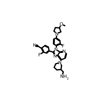 COC1CCN(c2ccc(-n3c(-c4ccc(C#N)c(F)c4)nc4c(N5CCCC(CN)C5)ccnc43)c(F)c2)C1